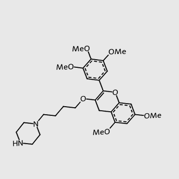 COc1cc(OC)c2c(c1)OC(c1cc(OC)c(OC)c(OC)c1)=C(OCCCCN1CCNCC1)C2